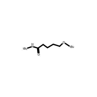 CC(C)(C)NC(=O)CCCCOC(C)(C)C